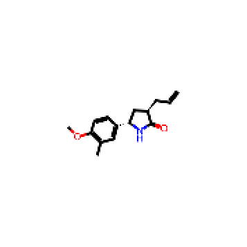 C=CC[C@@H]1C[C@@H](c2ccc(OC)c(C)c2)NC1=O